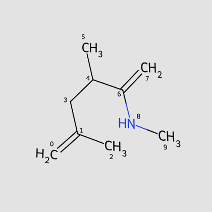 C=C(C)CC(C)C(=C)NC